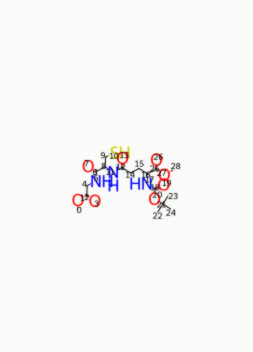 COC(=O)CNC(=O)C(CS)NC(=O)CCC(NC(=O)OC(C)(C)C)C(=O)OC